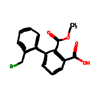 COC(=O)c1c(C(=O)O)cccc1-c1ccccc1CBr